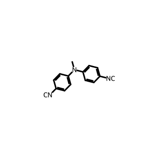 [C-]#[N+]c1ccc(N(C)c2ccc([N+]#[C-])cc2)cc1